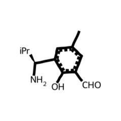 Cc1cc(C=O)c(O)c([C@@H](N)C(C)C)c1